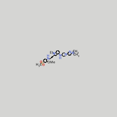 CCn1c(C#CCNc2ccc(S(C)(=O)=O)cc2OC)cc2c(NC3CCN(c4ccc(N(C)C)nc4)CC3)cccc21